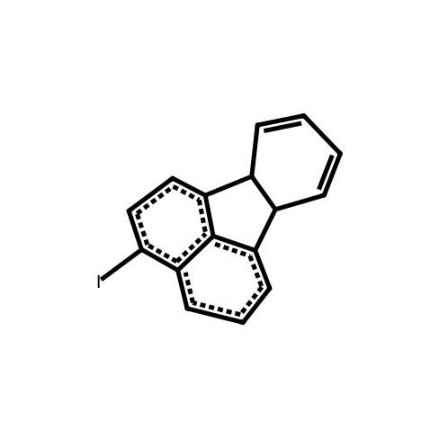 Ic1ccc2c3c(cccc13)C1C=CC=CC21